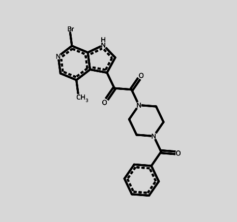 Cc1cnc(Br)c2[nH]cc(C(=O)C(=O)N3CCN(C(=O)c4ccccc4)CC3)c12